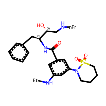 CCCNC[C@@H](O)[C@H](Cc1ccccc1)NC(=O)c1cc(NCC)cc(N2CCCCS2(=O)=O)c1